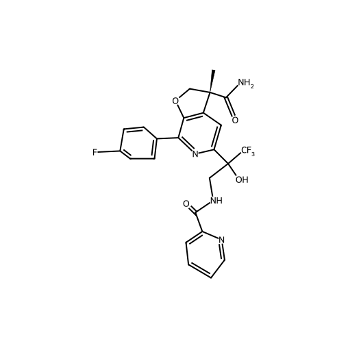 C[C@]1(C(N)=O)COc2c1cc(C(O)(CNC(=O)c1ccccn1)C(F)(F)F)nc2-c1ccc(F)cc1